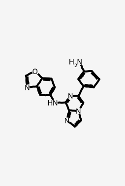 Nc1cccc(-c2cn3ccnc3c(Nc3ccc4ocnc4c3)n2)c1